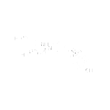 COC(=O)[C@H](CCSC)NC(=O)N1CCC(CCOS(=O)(=O)c2ccc(C)cc2)CC1